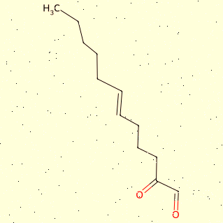 CCCCCC=CCCCC(=O)C=O